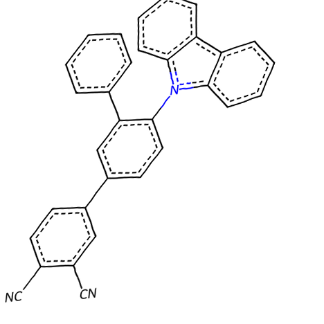 N#Cc1ccc(-c2ccc(-n3c4ccccc4c4ccccc43)c(-c3ccccc3)c2)cc1C#N